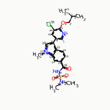 CC(C)COc1ncc(-c2cn(C)c3cc(C(=O)NS(=O)(=O)N(C)C)ccc23)cc1Cl